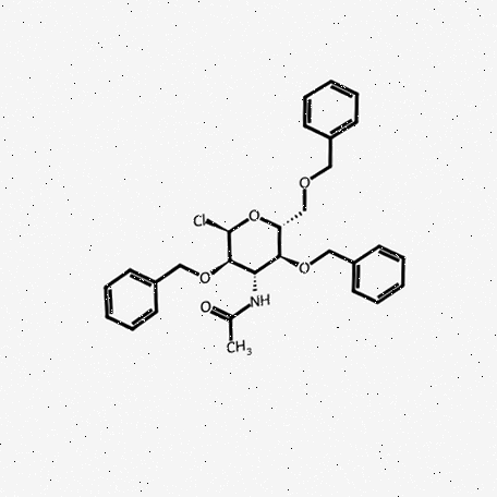 CC(=O)N[C@@H]1[C@@H](OCc2ccccc2)[C@@H](Cl)O[C@H](COCc2ccccc2)[C@H]1OCc1ccccc1